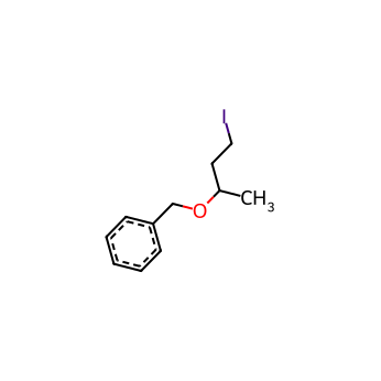 CC(CCI)OCc1ccccc1